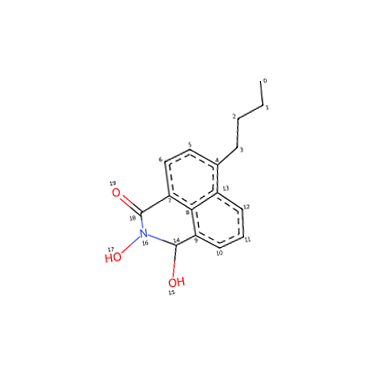 CCCCc1ccc2c3c(cccc13)C(O)N(O)C2=O